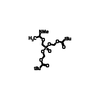 CNC(C)OCP(=O)(OCOC(=O)C(C)(C)C)OCOC(=O)C(C)(C)C